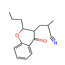 CCCC1Oc2ccccc2C(=O)C1CC(C)C#N